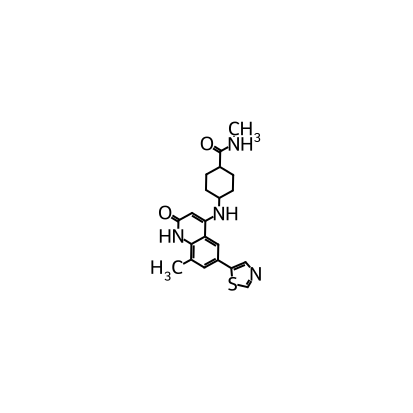 CNC(=O)C1CCC(Nc2cc(=O)[nH]c3c(C)cc(-c4cncs4)cc23)CC1